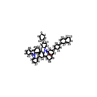 c1ccc(-c2ccc(N(c3cccc(-c4ccc(-c5ccc6ccccc6c5)cc4)c3)c3ccc(-c4ccccc4-n4c5ccccc5c5ccccc54)cc3-c3ccccc3)cc2)cc1